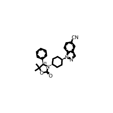 CC1(C)OC(=O)N([C@H]2CC[C@H](n3ncc4cc(C#N)ccc43)CC2)[C@@H]1c1ccccc1